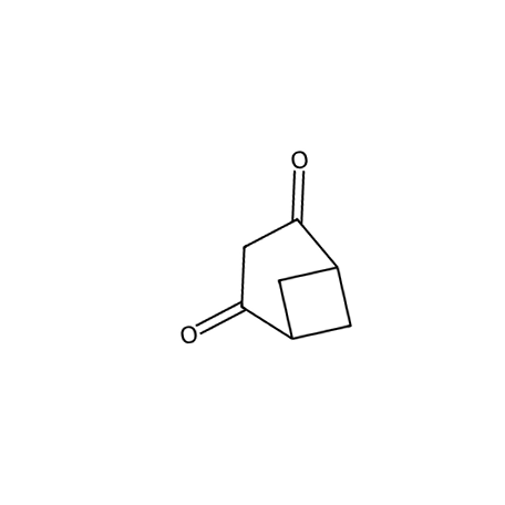 O=C1CC(=O)C2CC1C2